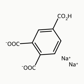 O=C(O)c1ccc(C(=O)[O-])c(C(=O)[O-])c1.[Na+].[Na+]